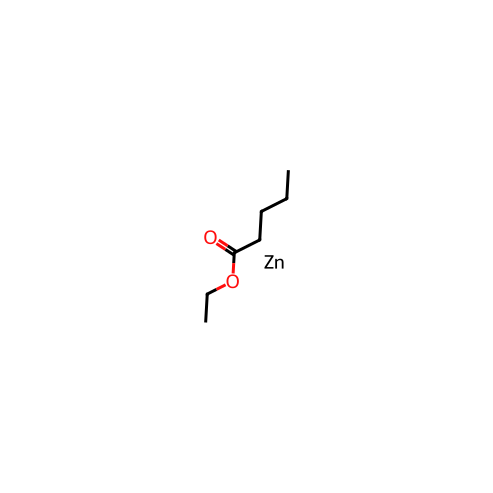 CCCCC(=O)OCC.[Zn]